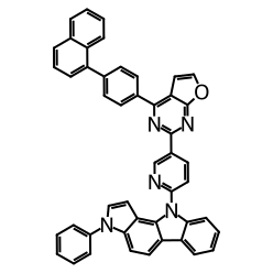 c1ccc(-n2ccc3c2ccc2c4ccccc4n(-c4ccc(-c5nc(-c6ccc(-c7cccc8ccccc78)cc6)c6ccoc6n5)cn4)c23)cc1